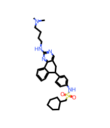 CN(C)CCCCNc1ncc2c(n1)-c1ccccc1C(c1ccc(NS(=O)(=O)CC3CCCCC3)cc1)C2